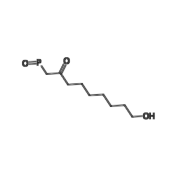 O=PCC(=O)CCCCCCCO